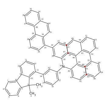 CC1(C)c2ccccc2-c2cccc(-c3cccc(N(c4cccc(-c5cccc6c5ccc5ccccc56)c4)c4ccccc4-c4cccc5cccc(-c6ccccc6)c45)c3)c21